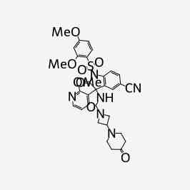 COc1ccc(S(=O)(=O)N2C(=O)C(NC(=O)N3CC(N4CCC(=O)CC4)C3)(c3cccnc3OC)c3cc(C#N)ccc32)c(OC)c1